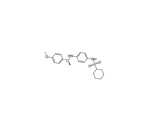 COc1ccc([C@H](C)Nc2ccc(NS(=O)(=O)C3CCCCC3)cc2)cc1